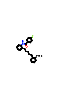 O=C(Nc1ccccc1CCCCCc1ccccc1C(=O)O)c1ccc(F)cc1